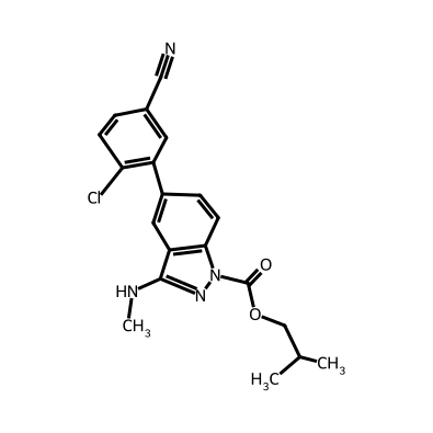 CNc1nn(C(=O)OCC(C)C)c2ccc(-c3cc(C#N)ccc3Cl)cc12